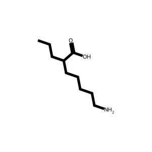 CCCC(CCCCCN)C(=O)O